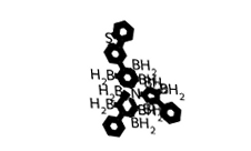 BC1=C(B)C(N(C/C(B)=C(B)\C(=C(\B)C#C)c2ccccc2)c2c(B)c(B)c(-c3ccc4sc5ccccc5c4c3)c(B)c2B)C(B)=C1c1ccccc1